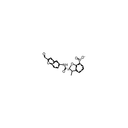 CC1c2cccc([N+](=O)[O-])c2O[C@H]1C(=O)Nc1ccc2oc(C=O)cc2c1